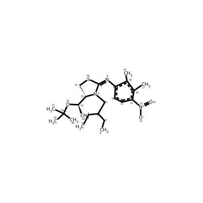 CCC(CC)CN1C(=Nc2ccc([N+](=O)[O-])c(C)c2C)SC[C@H]1[C@@H](C)OC(C)(C)C